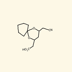 N#CCC1CC(CC(=O)O)OC2(CCCCC2)O1